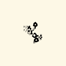 CC(C)(N)CN(C(=O)C(F)(F)F)[C@H](COCc1ccccc1)C(=O)N1CCC2(CC1)CN(S(C)(=O)=O)c1ccc(Br)cc12